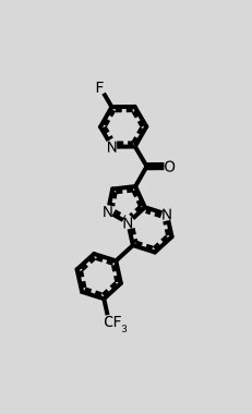 O=C(c1ccc(F)cn1)c1cnn2c(-c3cccc(C(F)(F)F)c3)ccnc12